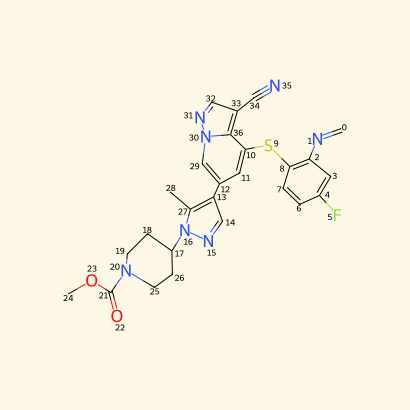 C=Nc1cc(F)ccc1Sc1cc(-c2cnn(C3CCN(C(=O)OC)CC3)c2C)cn2ncc(C#N)c12